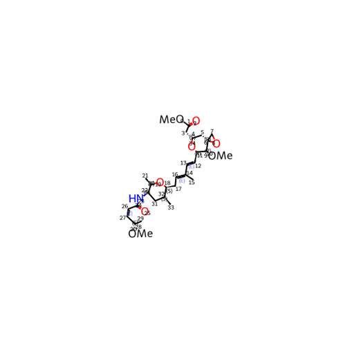 COC(=O)C[C@@H]1C[C@@]2(CO2)[C@H](OC)[C@@H](/C=C/C(C)=C/C[C@@H]2O[C@H](C)[C@H](NC(=O)/C=C\[C@H](C)OC)C[C@@H]2C)O1